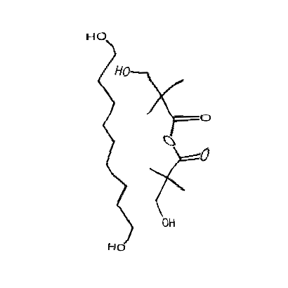 CC(C)(CO)C(=O)OC(=O)C(C)(C)CO.OCCCCCCCCCO